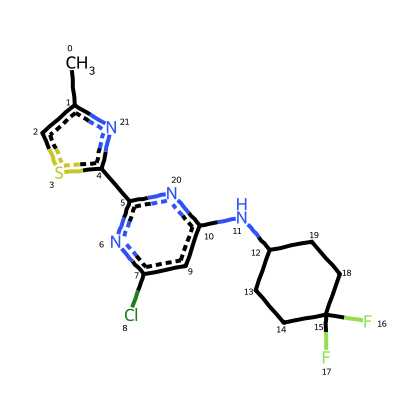 Cc1csc(-c2nc(Cl)cc(NC3CCC(F)(F)CC3)n2)n1